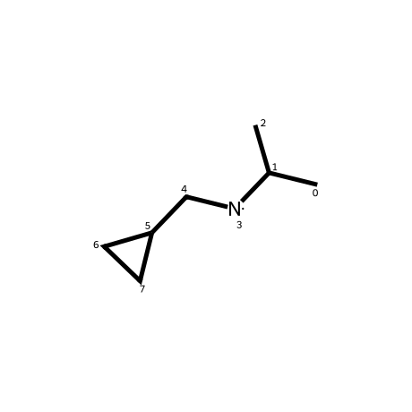 CC(C)[N]CC1CC1